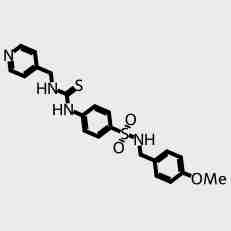 COc1ccc(CNS(=O)(=O)c2ccc(NC(=S)NCc3ccncc3)cc2)cc1